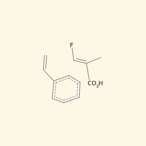 C=Cc1ccccc1.CC(=CF)C(=O)O